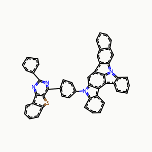 c1ccc(-c2nc(-c3ccc(-n4c5ccccc5c5c6c7ccccc7n7c8cc9ccccc9cc8c(cc54)c67)cc3)c3sc4ccccc4c3n2)cc1